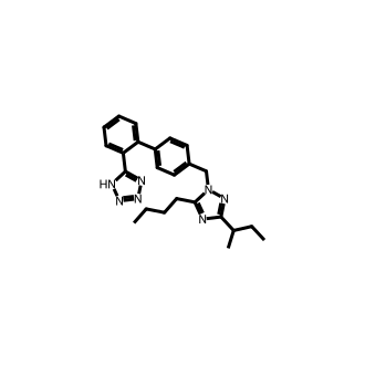 CCCCc1nc(C(C)CC)nn1Cc1ccc(-c2ccccc2-c2nnn[nH]2)cc1